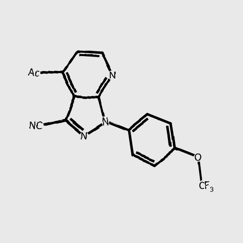 CC(=O)c1ccnc2c1c(C#N)nn2-c1ccc(OC(F)(F)F)cc1